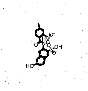 Cc1ccc(C(=O)Nc2cc3cc(O)ccc3cc2S(=O)(=O)O)c([N+](=O)[O-])c1